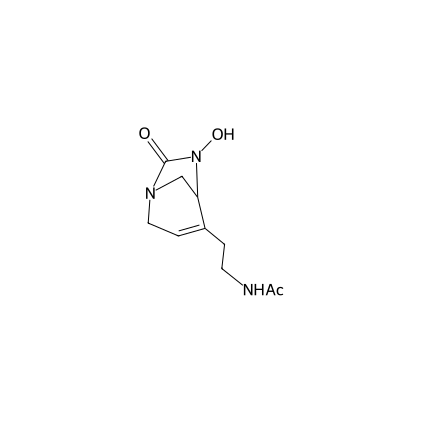 CC(=O)NCCC1=CCN2CC1N(O)C2=O